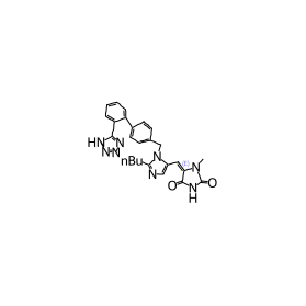 CCCCc1ncc(/C=C2\C(=O)NC(=O)N2C)n1Cc1ccc(-c2ccccc2-c2nnn[nH]2)cc1